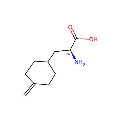 C=C1CCC(C[C@H](N)C(=O)O)CC1